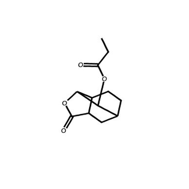 CCC(=O)OC1C2CCC3C(C2)C(=O)OC31